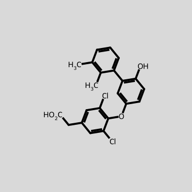 Cc1cccc(-c2cc(Oc3c(Cl)cc(CC(=O)O)cc3Cl)ccc2O)c1C